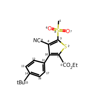 CCOC(=O)c1sc(S(C)(=O)=O)c(C#N)c1-c1ccc(C(C)(C)C)cc1